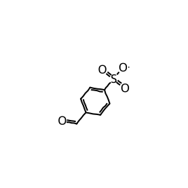 [O]S(=O)(=O)c1ccc(C=O)cc1